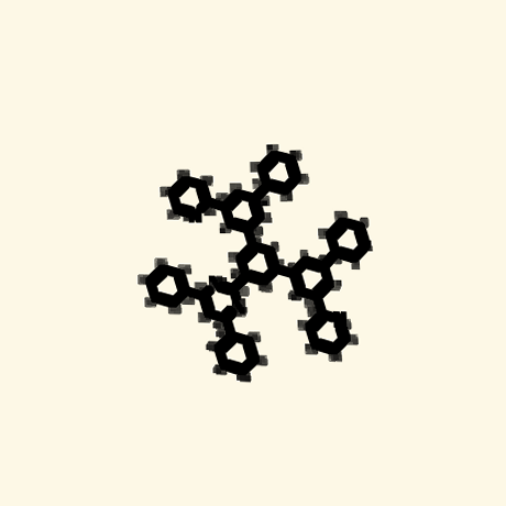 c1ccc(-c2cc(-c3cc(-c4cc(-c5ccccc5)cc(-c5ccccn5)c4)cc(-c4nc(-c5ccccc5)cc(-c5ccccc5)n4)c3)cc(-c3ccccn3)c2)cc1